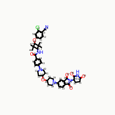 CC1(C)C(NC(=O)c2ccc(N3CCC(OC4CCN(c5ccc6c(c5)C(=O)N(C5CCC(=O)NC5=O)C6=O)CC4)CC3)cc2)C(C)(C)C1Oc1ccc(C#N)c(Cl)c1